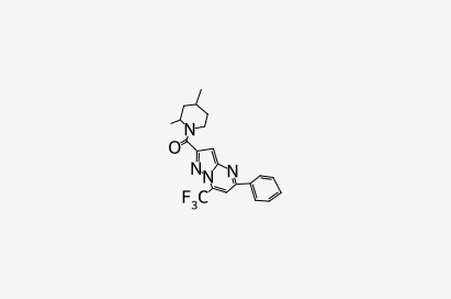 CC1CCN(C(=O)c2cc3nc(-c4ccccc4)cc(C(F)(F)F)n3n2)C(C)C1